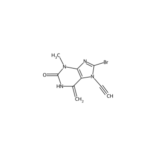 C#Cn1c(Br)nc2c1C(=C)NC(=O)N2C